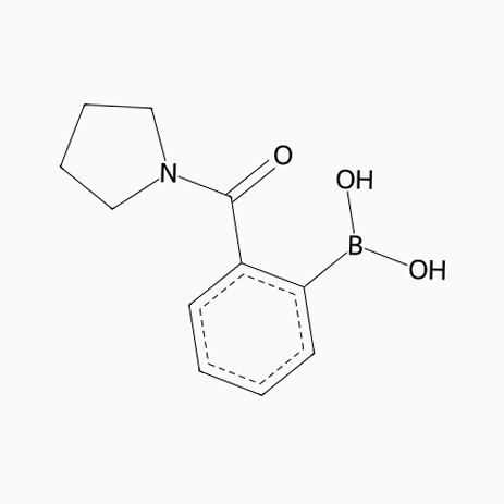 O=C(c1ccccc1B(O)O)N1CCCC1